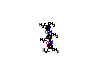 Cc1cc2nc(-c3cc(C)c(-c4nc5cc(C)c(C)cc5o4)cc3C)oc2cc1C